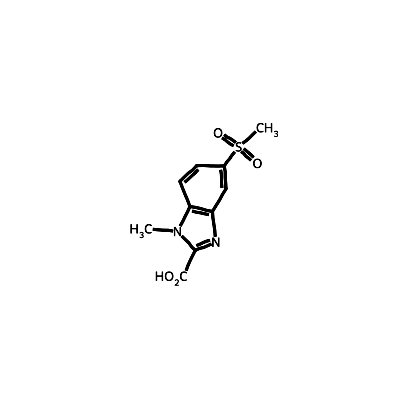 Cn1c(C(=O)O)nc2cc(S(C)(=O)=O)ccc21